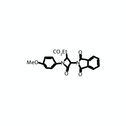 CCOC(=O)C1C(N2C(=O)c3ccccc3C2=O)C(=O)N1c1ccc(OC)cc1